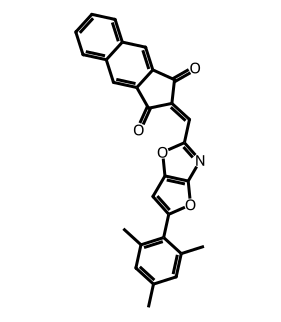 Cc1cc(C)c(-c2cc3oc(C=C4C(=O)c5cc6ccccc6cc5C4=O)nc3o2)c(C)c1